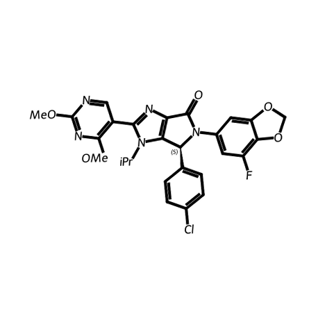 COc1ncc(-c2nc3c(n2C(C)C)[C@H](c2ccc(Cl)cc2)N(c2cc(F)c4c(c2)OCO4)C3=O)c(OC)n1